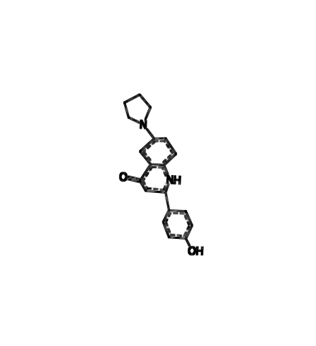 O=c1cc(-c2ccc(O)cc2)[nH]c2ccc(N3CCCC3)cc12